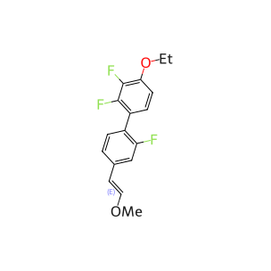 CCOc1ccc(-c2ccc(/C=C/OC)cc2F)c(F)c1F